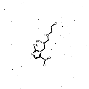 Cc1ncc([N+](=O)[O-])n1CC(O)CNCCCl